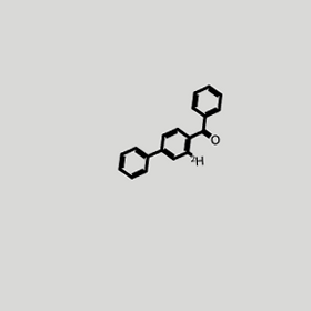 [2H]c1cc(-c2ccccc2)ccc1C(=O)c1ccccc1